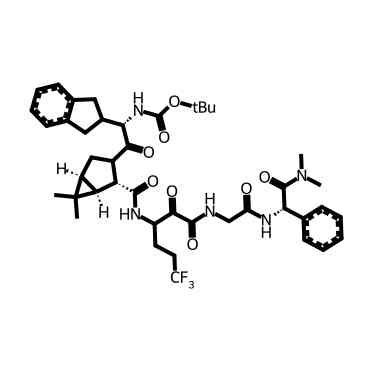 CN(C)C(=O)[C@@H](NC(=O)CNC(=O)C(=O)C(CCC(F)(F)F)NC(=O)[C@H]1C(C(=O)[C@@H](NC(=O)OC(C)(C)C)C2Cc3ccccc3C2)C[C@H]2[C@@H]1C2(C)C)c1ccccc1